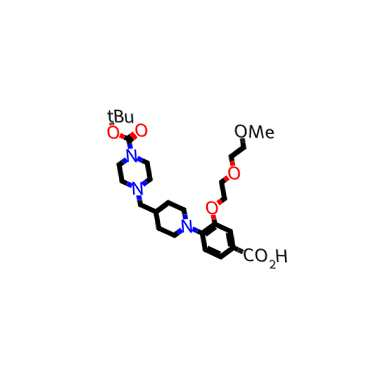 COCCOCCOc1cc(C(=O)O)ccc1N1CCC(CN2CCN(C(=O)OC(C)(C)C)CC2)CC1